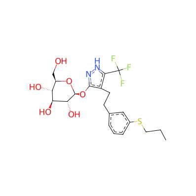 CCCSc1cccc(CCc2c(O[C@@H]3O[C@H](CO)[C@@H](O)[C@H](O)[C@H]3O)n[nH]c2C(F)(F)F)c1